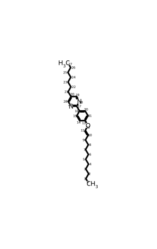 CCCCCCCCCCC=COc1ccc(-c2ncc(CCCCCCC)cn2)cc1